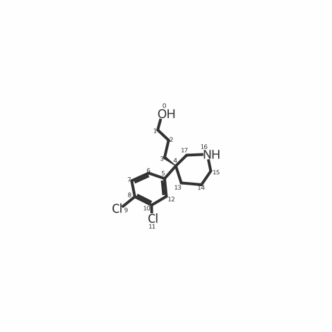 OCCC[C@]1(c2ccc(Cl)c(Cl)c2)CCCNC1